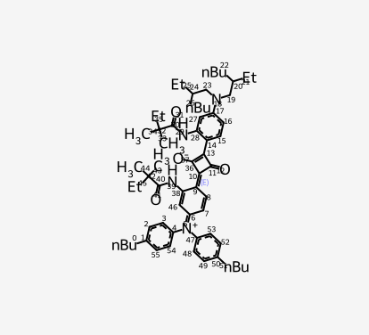 CCCCc1ccc([N+](=C2C=C/C(=C3\C(=O)C(c4ccc(N(CC(CC)CCCC)CC(CC)CCCC)cc4NC(=O)C(C)(C)CC)=C3[O-])C(NC(=O)C(C)(C)CC)=C2)c2ccc(CCCC)cc2)cc1